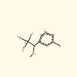 COC(c1cncc(C)c1)C(F)(F)F